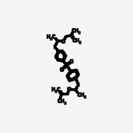 C=C(C)COC(C)Sc1ccc(S(=O)(=O)c2ccc(SC(C)OCC(=C)C)cc2)cc1